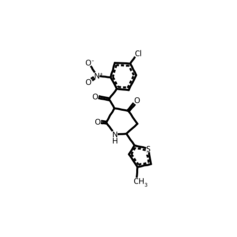 Cc1csc(C2CC(=O)C(C(=O)c3ccc(Cl)cc3[N+](=O)[O-])C(=O)N2)c1